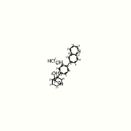 Cl.Cl.OC1(c2ccc(-c3ccc4ncccc4c3)cc2)CN2CCC1CC2